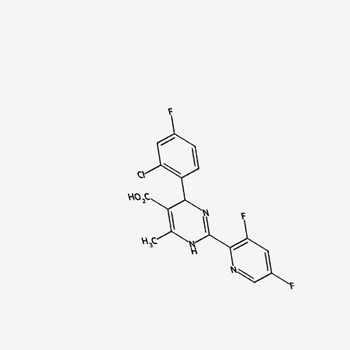 CC1=C(C(=O)O)C(c2ccc(F)cc2Cl)N=C(c2ncc(F)cc2F)N1